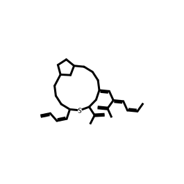 C=C/C=C\C1CCCC2CCC(CCC/C(=C/C(=C/C=C\C)C(=C)C)CC(C(=C)C)S1)C2